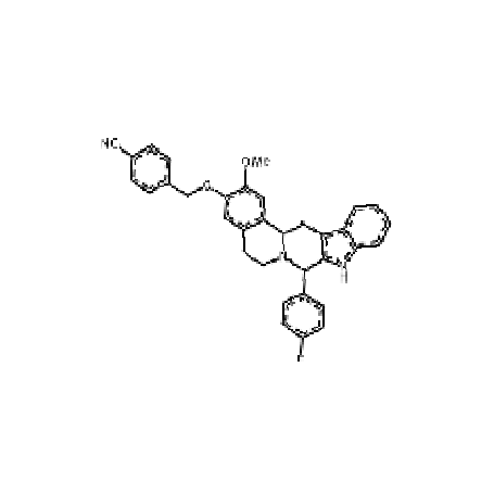 COc1cc2c(cc1OCc1ccc(C#N)cc1)CCN1C2Cc2c([nH]c3ccccc23)C1c1ccc(F)cc1